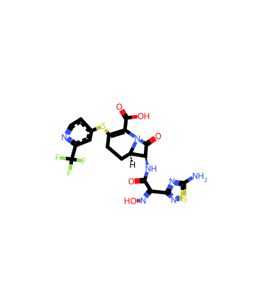 Nc1nc(/C(=N/O)C(=O)N[C@@H]2C(=O)N3C(C(=O)O)=C(Sc4ccnc(C(F)(F)F)c4)CC[C@H]23)ns1